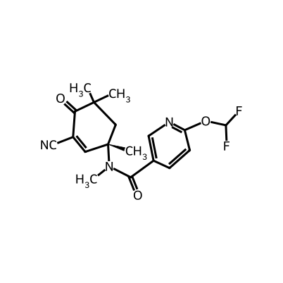 CN(C(=O)c1ccc(OC(F)F)nc1)[C@]1(C)C=C(C#N)C(=O)C(C)(C)C1